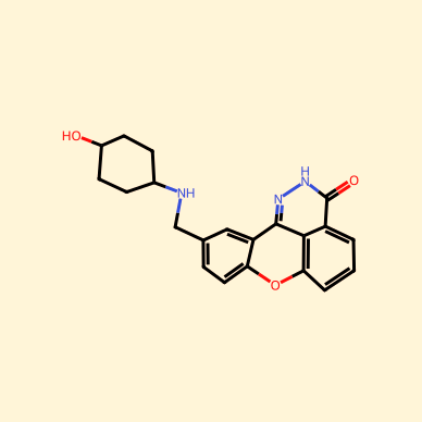 O=c1[nH]nc2c3c(cccc13)Oc1ccc(CNC3CCC(O)CC3)cc1-2